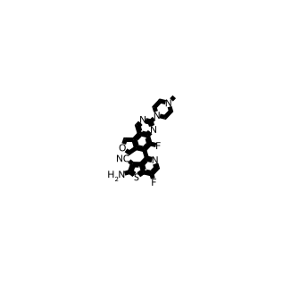 CN1CCN(c2ncc3c4c(c(-c5ncc(F)c6sc(N)c(C#N)c56)c(F)c3n2)COC4)CC1